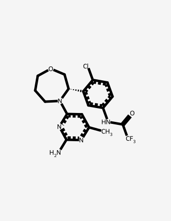 Cc1cc(N2CCCOC[C@@H]2c2cc(NC(=O)C(F)(F)F)ccc2Cl)nc(N)n1